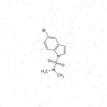 CN(C)S(=O)(=O)n1ccc2cc(Br)ccc21